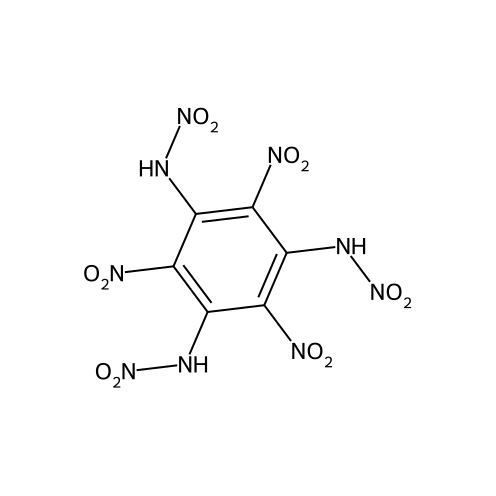 O=[N+]([O-])Nc1c([N+](=O)[O-])c(N[N+](=O)[O-])c([N+](=O)[O-])c(N[N+](=O)[O-])c1[N+](=O)[O-]